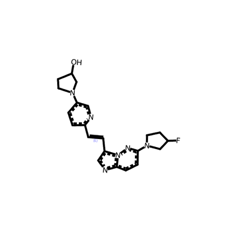 OC1CCN(c2ccc(/C=C/c3cnc4ccc(N5CCC(F)C5)nn34)nc2)C1